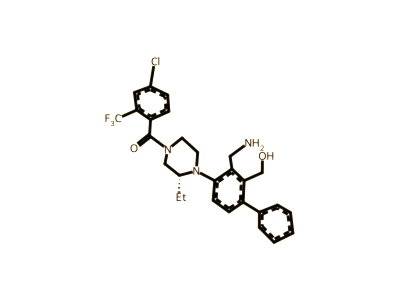 CC[C@@H]1CN(C(=O)c2ccc(Cl)cc2C(F)(F)F)CCN1c1ccc(-c2ccccc2)c(CO)c1CN